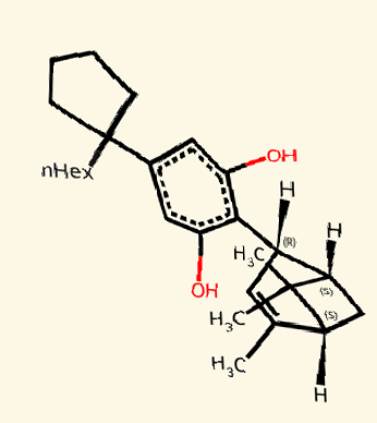 CCCCCCC1(c2cc(O)c([C@H]3C=C(C)[C@H]4C[C@@H]3C4(C)C)c(O)c2)CCCC1